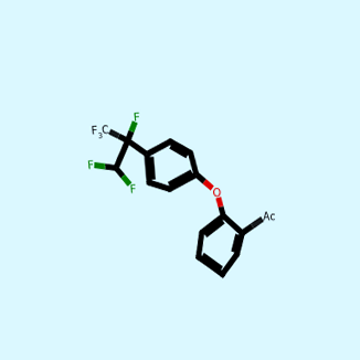 CC(=O)c1ccccc1Oc1ccc(C(F)(C(F)F)C(F)(F)F)cc1